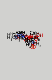 CCCCC(CC)COC(=O)C(CC(C)(C)C(=O)OCCN(C(=O)NCC1(C)CC(NC(=O)ON=C(C)CC)CC(C)(C)C1)C(C)(C)C)CC(C)(CC(C)(CC(CC)C(=O)NC(C)(C)CS(=O)(=O)O)C(=O)OCCO)C(=O)OCCOC